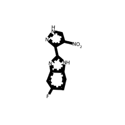 O=[N+]([O-])c1c[nH]nc1-c1nc2cc(F)ccc2[nH]1